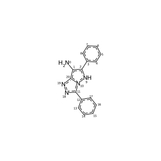 Nc1c(-c2ccccc2)[nH]n2c(-c3ccccc3)nnc12